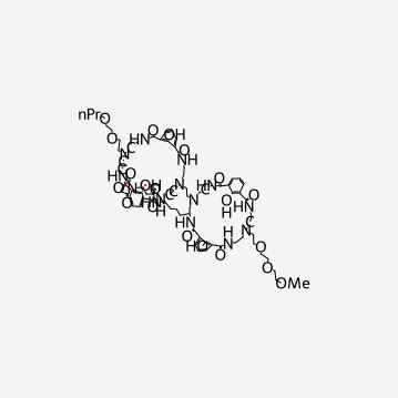 CCCOCCOCCN1CCNC(=O)c2cccc(c2O)C(=O)NCCN(CCN2CCNC(=O)c3cccc(c3O)C(=O)NCCN(CCOCCOCCOC)CCNC(=O)c3cccc(c3O)C(=O)NC(CCCCNC(=O)CCN3C(=O)C=CC3=O)C2)CCNC(=O)c2cccc(c2O)C(=O)NCC1